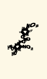 O=C(OCc1cc(OS)c(O)cc1[N+](=O)[O-])Oc1ccc([N+](=O)[O-])cc1